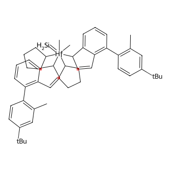 Cc1cc(C(C)(C)C)ccc1-c1cccc2c1C=C[CH]2[Hf]([CH3])([CH3])(=[SiH2])([CH]1CCCC1)([CH]1CCCC1)[CH]1C=Cc2c(-c3ccc(C(C)(C)C)cc3C)cccc21